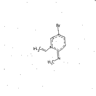 C=Cn1cc(Br)cc/c1=N/C